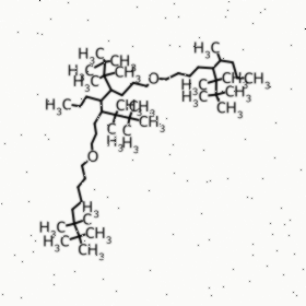 CCCC(C)C(CCCCOCCCC(C(CCC)C(CCCOCCCCCC(C)(C)C(C)(C)C)C(C)(C)C(C)(C)C)C(C)(C)C(C)(C)C)C(C)(C)C(C)(C)C